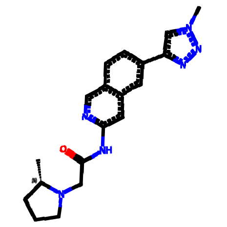 C[C@H]1CCCN1CC(=O)Nc1cc2cc(-c3cn(C)nn3)ccc2cn1